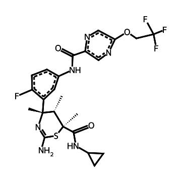 C[C@@H]1[C@@](C)(C(=O)NC2CC2)SC(N)=N[C@]1(C)c1cc(NC(=O)c2cnc(OCC(F)(F)F)cn2)ccc1F